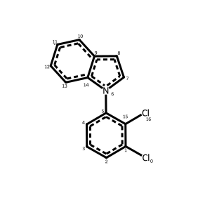 Clc1cccc(-n2ccc3c[c]ccc32)c1Cl